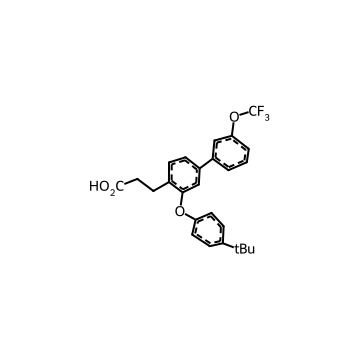 CC(C)(C)c1ccc(Oc2cc(-c3cccc(OC(F)(F)F)c3)ccc2CCC(=O)O)cc1